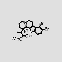 CC[C@@]1(C(C)C(=O)OC)CCCN2CCc3c([nH]c4ccc(Br)c(Br)c34)[C@@H]21